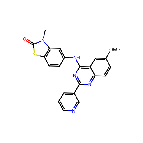 COc1ccc2nc(-c3cccnc3)nc(Nc3ccc4sc(=O)n(C)c4c3)c2c1